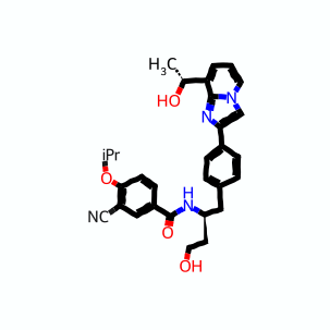 CC(C)Oc1ccc(C(=O)N[C@H](CCO)Cc2ccc(-c3cn4cccc([C@@H](C)O)c4n3)cc2)cc1C#N